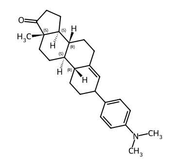 CN(C)c1ccc(C2C=C3CC[C@@H]4[C@H](CC[C@]5(C)C(=O)CC[C@@H]45)[C@H]3CC2)cc1